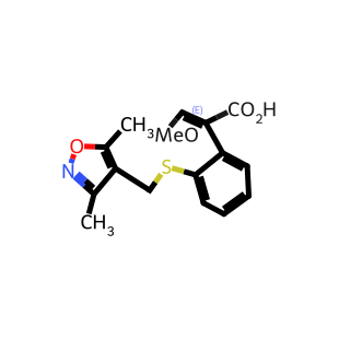 CO/C=C(/C(=O)O)c1ccccc1SCc1c(C)noc1C